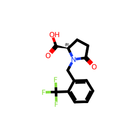 O=C(O)[C@H]1CCC(=O)N1Cc1ccccc1C(F)(F)F